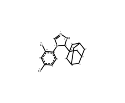 Clc1ccc(N2C=NNC2C23CC4CC(CC(C4)C2)C3)c(Cl)c1